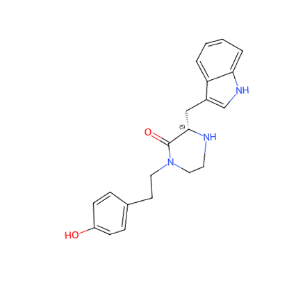 O=C1[C@H](Cc2c[nH]c3ccccc23)NCCN1CCc1ccc(O)cc1